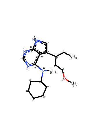 CCC(CCOC)c1c[nH]c2ncnc(N(C)C3CCCCC3)c12